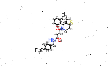 Cc1ccccc1C1c2ccsc2CCN1C(=O)CCC(=O)NCc1ccc(C(F)(F)F)cc1